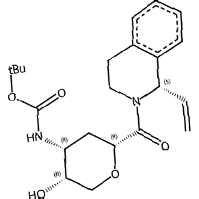 C=C[C@H]1c2ccccc2CCN1C(=O)[C@H]1C[C@@H](NC(=O)OC(C)(C)C)[C@@H](O)CO1